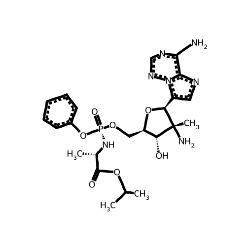 CC(C)OC(=O)[C@H](C)N[P@](=O)(OC[C@H]1O[C@@H](c2cnc3c(N)ncnn23)[C@](C)(N)[C@@H]1O)Oc1ccccc1